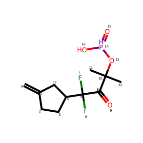 C=C1CCC(C(F)(F)C(=O)C(C)(C)O[PH](=O)O)C1